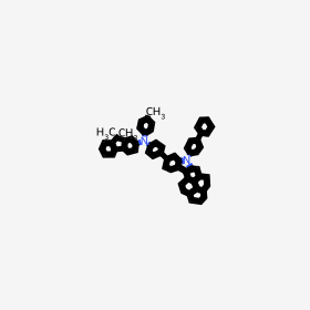 Cc1ccc(N(c2ccc(-c3ccc4c5c6ccc7cccc8ccc(cc5n(-c5ccc(-c9ccccc9)cc5)c4c3)c6c87)cc2)c2ccc3c(c2)C(C)(C)c2ccccc2-3)cc1